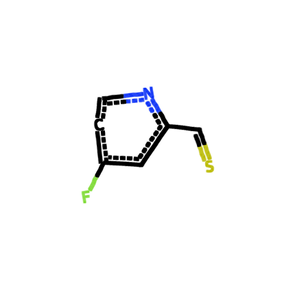 Fc1ccnc(C=S)c1